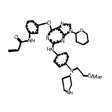 C=CC(=O)Nc1cccc(Oc2nc(Nc3ccc(N(CCOC)[C@H]4CCNC4)cc3)nc3c2ncn3C2CCCCO2)c1